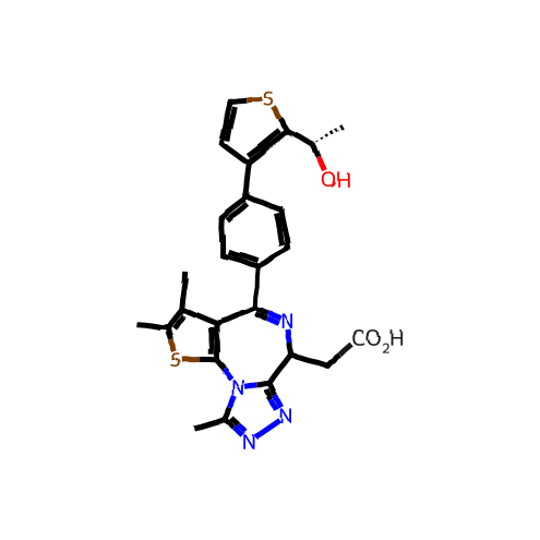 Cc1sc2c(c1C)C(c1ccc(-c3ccsc3[C@H](C)O)cc1)=NC(CC(=O)O)c1nnc(C)n1-2